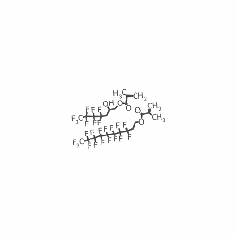 C=C(C)C(=O)OCC(O)CC(F)(F)C(F)(F)C(F)(F)C(F)(F)F.C=C(C)C(=O)OCCC(F)(F)C(F)(F)C(F)(F)C(F)(F)C(F)(F)C(F)(F)C(F)(F)C(F)(F)F